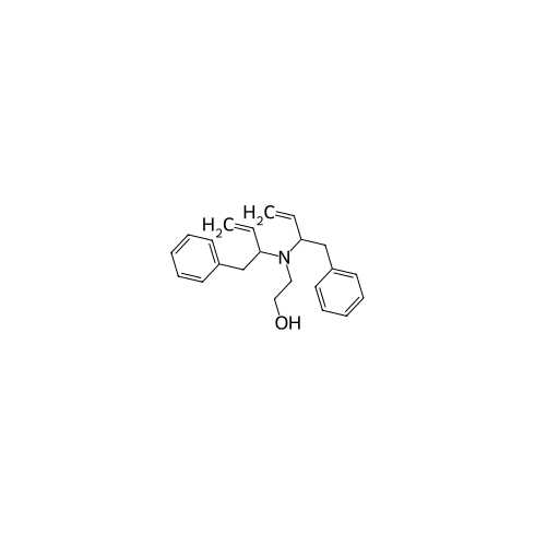 C=CC(Cc1ccccc1)N(CCO)C(C=C)Cc1ccccc1